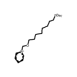 CCCCCCCCCCCCCCCCCCOC[n+]1ccccc1